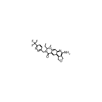 CCC(OC)N(Cc1ccc(C(F)(F)F)nn1)C(=O)c1cc2c3c(c(N)nc2cn1)COC3